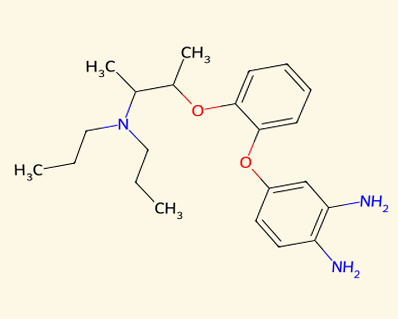 CCCN(CCC)C(C)C(C)Oc1ccccc1Oc1ccc(N)c(N)c1